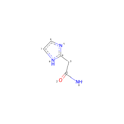 [NH]C(=O)Cc1ncc[nH]1